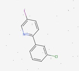 Clc1cccc(-c2ccc(I)cn2)c1